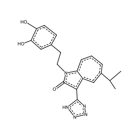 CC(C)c1cccc2n(CCc3ccc(O)c(O)c3)c(=O)c(-c3nnn[nH]3)c-2c1